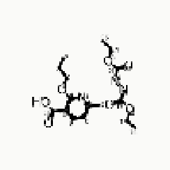 CCCOc1nc(C)ccc1C(=O)O.CCOC(=O)N=NC(=O)OCC